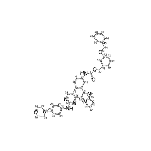 O=C(Nc1cccc(-c2nc3sccn3c2-c2ccnc(Nc3ccc(N4CCOCC4)cc3)n2)c1)OCc1cccc(OCc2ccccc2)c1